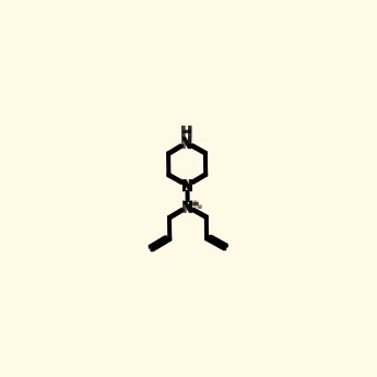 C=CC[N+](CC=C)N1CCNCC1